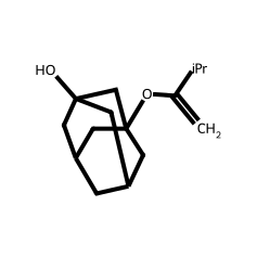 C=C(OC12CC3CC(CC(O)(C3)C1)C2)C(C)C